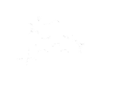 N#Cc1[nH]nnc1-c1cc(OC(F)(F)F)cc(-c2ccc3[nH]ccc3c2)c1